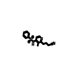 Cc1c(NS(=O)(=O)c2ccccc2)ccnc1CCCC#N